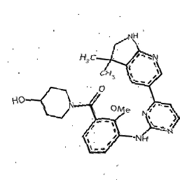 COc1c(Nc2nccc(-c3cnc4c(c3)C(C)(C)CN4)n2)cccc1C(=O)N1CCC(O)CC1